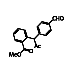 COC(=O)c1ccccc1C(C(C)=O)c1ccc(C=O)cc1